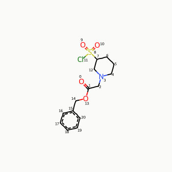 O=C(CN1CCCC(S(=O)(=O)Cl)C1)OCc1ccccc1